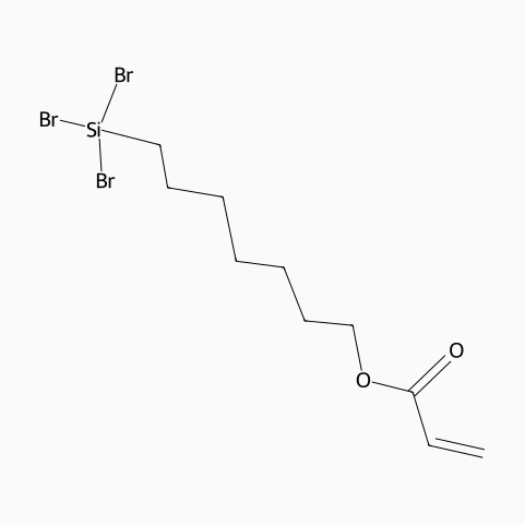 C=CC(=O)OCCCCCCC[Si](Br)(Br)Br